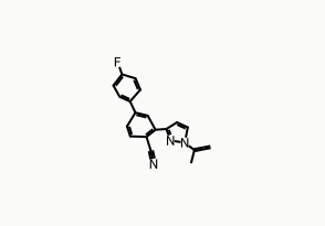 C=C(C)n1ccc(-c2cc(-c3ccc(F)cc3)ccc2C#N)n1